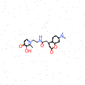 Cc1c(O)c(=O)ccn1CCNC(=O)Cc1cc(=O)oc2cc(N(C)C)ccc12